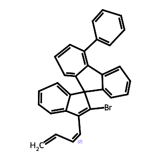 C=C/C=C\C1=C(Br)C2(c3ccccc31)c1ccccc1-c1c(-c3ccccc3)cccc12